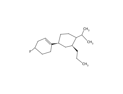 CCC[C@H]1C[C@@H](C2=CCC(F)CC2)CCC1C(C)C